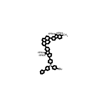 CCCCCCC1(CCCCCC)c2cc(C)ccc2-c2ccc(-c3ccc4ccc5ccc(-c6ccc7c(c6)C(CCCCCC)(CCCCCC)c6cc(-c8ccc(N(c9ccc(-c%10ccccc%10)cc9)c9ccc(C(C)CC)cc9)cc8)ccc6-7)c6ccc3c4c56)cc21